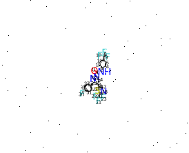 O=C(Nc1ccc(C(F)(F)F)cc1)N1CC(c2cnc(C(F)(F)F)s2)C(c2ccc(F)cc2)=N1